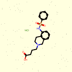 Cl.O=C(O)CCCN1CCc2c(cccc2NS(=O)(=O)c2ccccc2)C1